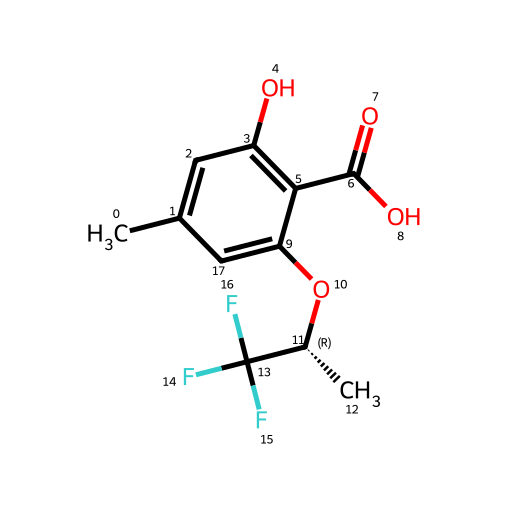 Cc1cc(O)c(C(=O)O)c(O[C@H](C)C(F)(F)F)c1